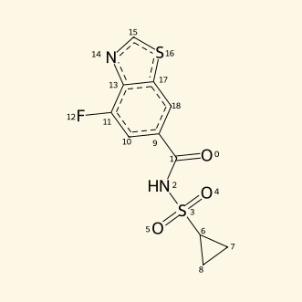 O=C(NS(=O)(=O)C1CC1)c1cc(F)c2ncsc2c1